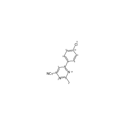 Cc1nc(C#N)cc(-c2ccc(Cl)cc2)n1